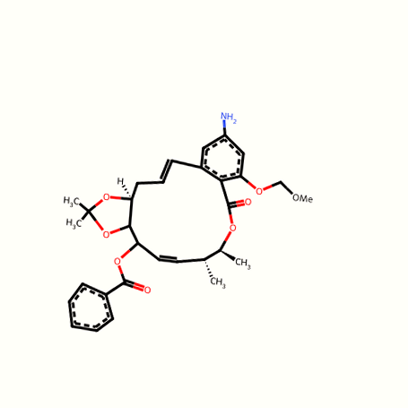 COCOc1cc(N)cc2c1C(=O)O[C@@H](C)[C@H](C)/C=C\C(OC(=O)c1ccccc1)C1OC(C)(C)O[C@H]1C/C=C/2